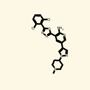 CN1CCC(n2cc(-c3cnc(N)c(-c4nnc(-c5c(Cl)cccc5Cl)o4)c3)cn2)CC1